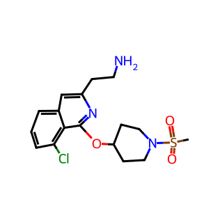 CS(=O)(=O)N1CCC(Oc2nc(CCN)cc3cccc(Cl)c23)CC1